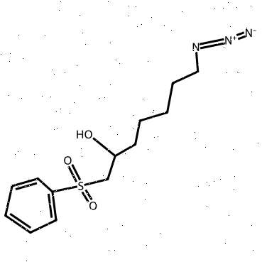 [N-]=[N+]=NCCCCCC(O)CS(=O)(=O)c1ccccc1